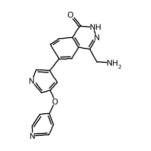 NCc1n[nH]c(=O)c2ccc(-c3cncc(Oc4ccncc4)c3)cc12